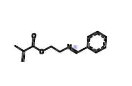 C=C(C)C(=O)OCC/N=C/c1ccccc1